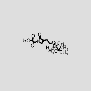 CC(C)(C)[Si](C)(C)OCCC1CN(C(=O)C(=O)O)C1=O